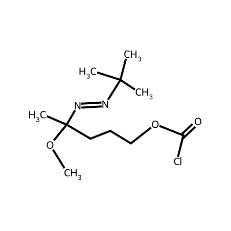 COC(C)(CCCOC(=O)Cl)N=NC(C)(C)C